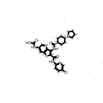 O=C(O)Nc1cnc2c(NC(=O)[C@H]3CC[C@H](N4CCCC4)CC3)c(C(=O)Nc3ccc(Cl)cn3)oc2c1